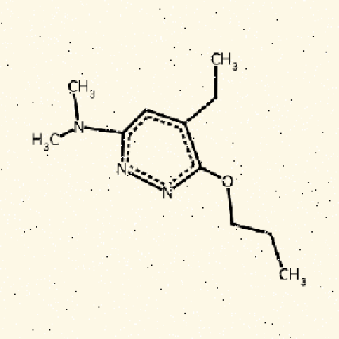 CCCOc1nnc(N(C)C)cc1CC